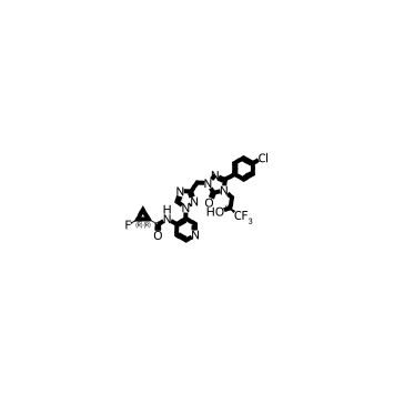 O=C(Nc1ccncc1-n1cnc(Cn2nc(-c3ccc(Cl)cc3)n(C[C@H](O)C(F)(F)F)c2=O)n1)[C@H]1C[C@H]1F